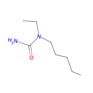 CCCCCN(CC)C(N)=O